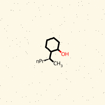 CCC[C@H](C)C1CCCCC1O